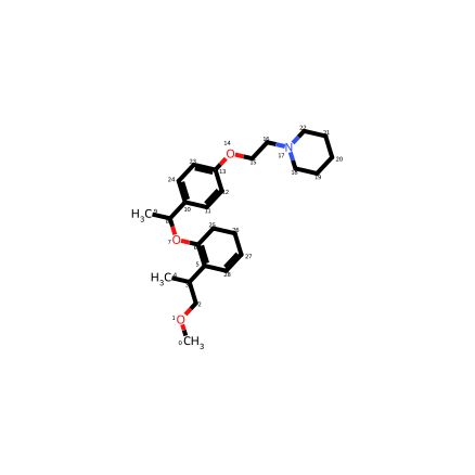 COCC(C)C1=C(OC(C)c2ccc(OCCN3CCCCC3)cc2)CCC=C1